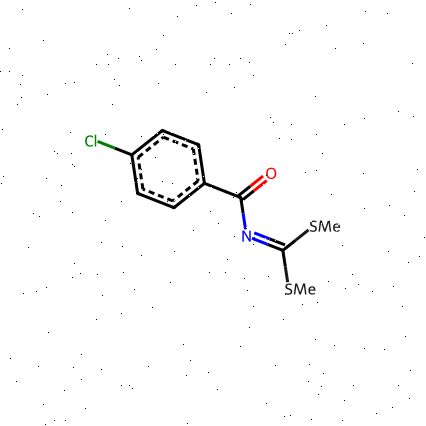 CSC(=NC(=O)c1ccc(Cl)cc1)SC